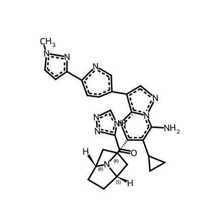 Cn1ccc(-c2ccc(-c3cnn4c(N)c(C5CC5)c([C@H]5C[C@H]6CC[C@@H](C5)N6C(=O)c5nnc[nH]5)nc34)cn2)n1